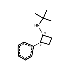 CC(C)(C)N[C@@H]1CC[C@@H]1c1ccccc1